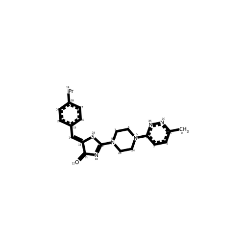 Cc1ccc(N2CCN(C3=NC(=O)/C(=C/c4ccc(C(C)C)cc4)S3)CC2)nn1